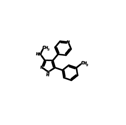 CNc1n[nH]c(-c2cccc(C)c2)c1-c1ccncc1